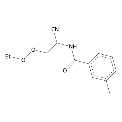 CCOOCC(C#N)NC(=O)c1cccc(C)c1